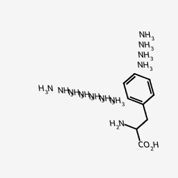 N.N.N.N.N.N.N.N.N.N.N.NC(Cc1ccccc1)C(=O)O